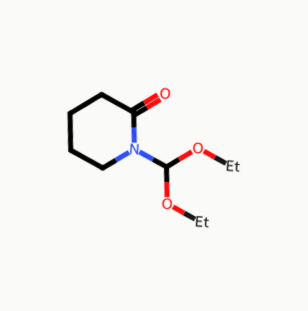 CCOC(OCC)N1CCCCC1=O